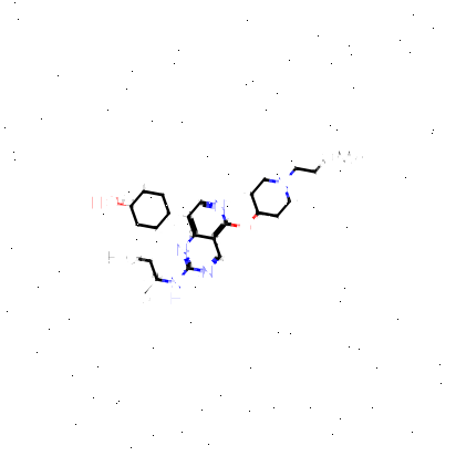 COCCN1CCC(Oc2ncc([C@H]3CC[C@H](O)CC3)c3nc(N[C@@H](C)CC(F)(F)F)ncc23)CC1